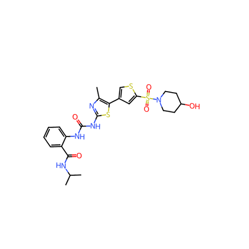 Cc1nc(NC(=O)Nc2ccccc2C(=O)NC(C)C)sc1-c1csc(S(=O)(=O)N2CCC(O)CC2)c1